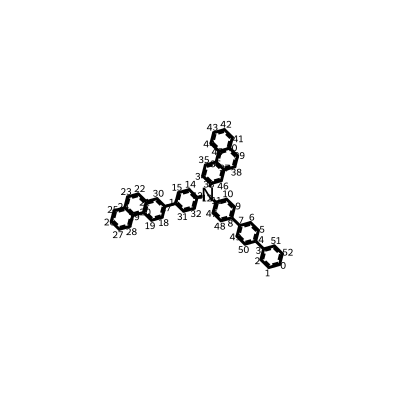 c1ccc(-c2ccc(-c3ccc(N(c4ccc(-c5ccc6c(ccc7ccccc76)c5)cc4)c4ccc5c(ccc6ccccc65)c4)cc3)cc2)cc1